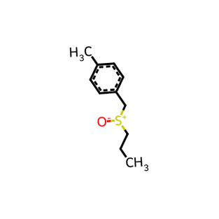 CCC[S+]([O-])Cc1ccc(C)cc1